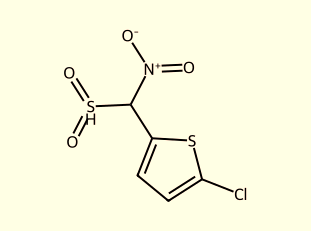 O=[N+]([O-])C(c1ccc(Cl)s1)[SH](=O)=O